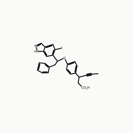 CC#CC(CC(=O)O)c1ccc(OC(Cc2ccccc2)c2cc3[nH]ncc3cc2F)cc1